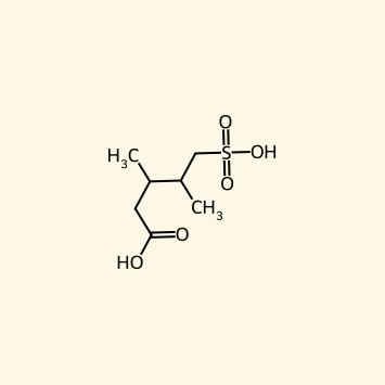 CC(CC(=O)O)C(C)CS(=O)(=O)O